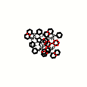 CC1C(N(P(c2ccccc2)c2ccccc2)P(c2ccccc2)c2ccccc2)C(C)C(C)(CN(P(c2ccccc2)c2ccccc2)P(c2ccccc2)c2ccccc2)C1CC1CCC(N(P(c2ccccc2)c2ccccc2)P(c2ccccc2)c2ccccc2)C(C2CCCCC2N(P(c2ccccc2)c2ccccc2)P(c2ccccc2)c2ccccc2)C1